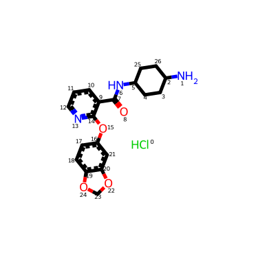 Cl.NC1CCC(NC(=O)c2cccnc2Oc2ccc3c(c2)OCO3)CC1